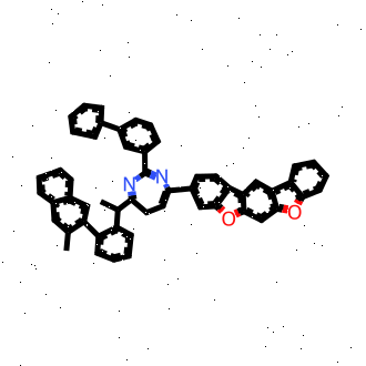 Cc1cc2ccccc2cc1-c1ccccc1C(C)C1=NC(c2cccc(-c3ccccc3)c2)=NC(c2ccc3c(c2)oc2cc4oc5ccccc5c4cc23)=CC1